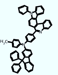 Cc1ccc(N(c2ccc(-c3nc4ccccc4c4c3ccc3c4c4ccccc4n3-c3ccccc3)cc2)c2ccc3c(c2)C(c2ccccc2)(c2ccccc2)c2ccccc2-3)cc1